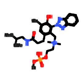 CCOP(=O)(O)OCC[N+](C)(C)Cc1c(CCC(=O)NCC(OC)OC)cc(C(C)(C)C)c(O)c1-n1nc2ccccc2n1